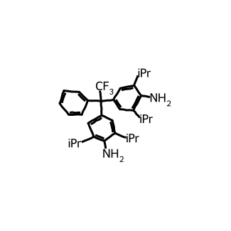 CC(C)c1cc(C(c2ccccc2)(c2cc(C(C)C)c(N)c(C(C)C)c2)C(F)(F)F)cc(C(C)C)c1N